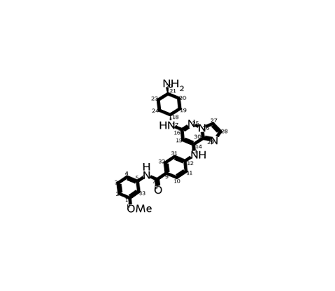 COc1cccc(NC(=O)c2ccc(Nc3cc(N[C@H]4CC[C@H](N)CC4)nn4ccnc34)cc2)c1